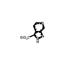 CCOC(=O)c1[nH]nc2cnccc12